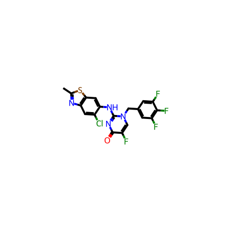 Cc1nc2cc(Cl)c(Nc3nc(=O)c(F)cn3Cc3cc(F)c(F)c(F)c3)cc2s1